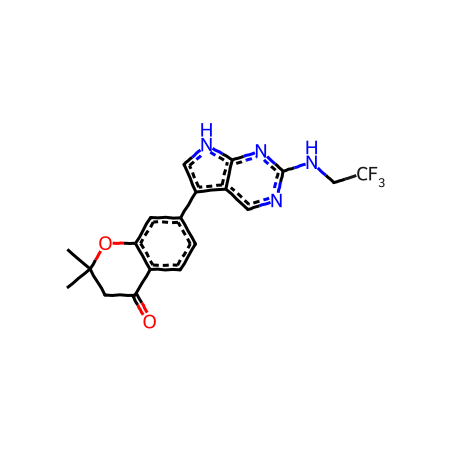 CC1(C)CC(=O)c2ccc(-c3c[nH]c4nc(NCC(F)(F)F)ncc34)cc2O1